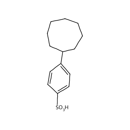 O=S(=O)(O)c1ccc(C2CCCCCCC2)cc1